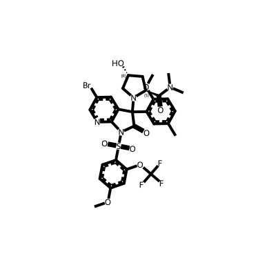 COc1ccc(S(=O)(=O)N2C(=O)C(c3cc(C)ccc3OC)(N3C[C@H](O)C[C@H]3C(=O)N(C)C)c3cc(Br)cnc32)c(OC(F)(F)F)c1